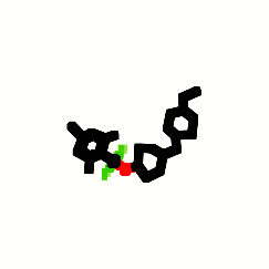 CCC1CCC(CC2CCC(OC(F)(F)c3c(C)cc(C)cc3C)CC2)CC1